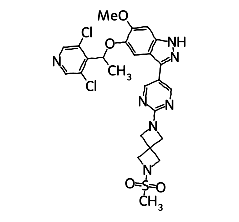 COc1cc2[nH]nc(-c3cnc(N4CC5(C4)CN(S(C)(=O)=O)C5)nc3)c2cc1OC(C)c1c(Cl)cncc1Cl